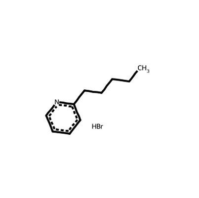 Br.CCCCCc1ccccn1